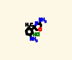 CC1(c2cccc(N)c2)COCC(N)=N1.Cl